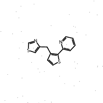 c1ccc(-c2sccc2Cc2cscn2)nc1